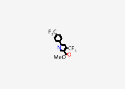 COC(=O)c1cnc(-c2ccc(C(F)(F)F)cc2)cc1C(F)(F)F